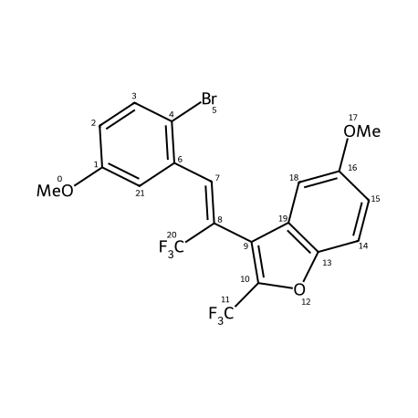 COc1ccc(Br)c(C=C(c2c(C(F)(F)F)oc3ccc(OC)cc23)C(F)(F)F)c1